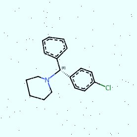 Clc1ccc([C@@H](c2ccccc2)N2CCCCC2)cc1